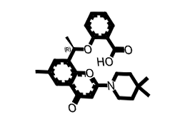 Cc1cc([C@@H](C)Oc2ccccc2C(=O)O)c2oc(N3CCC(C)(C)CC3)cc(=O)c2c1